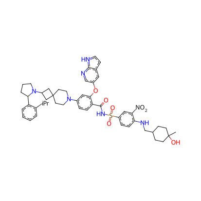 CC(C)c1ccccc1C1CCCN1C1CC2(CCN(c3ccc(C(=O)NS(=O)(=O)c4ccc(NCC5CCC(C)(O)CC5)c([N+](=O)[O-])c4)c(Oc4cnc5[nH]ccc5c4)c3)CC2)C1